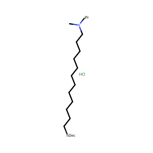 CCCCCCCCCCCCCCCCCCCCCCN(C)C(C)C.Cl